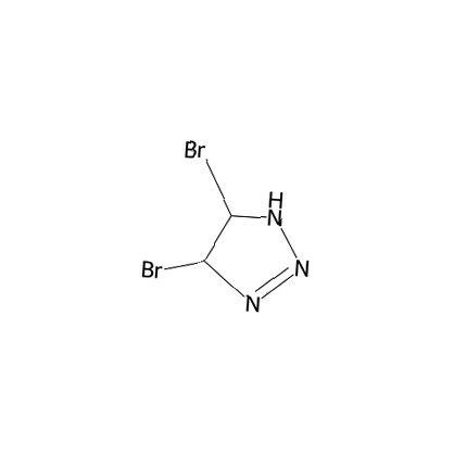 BrC1N=NNC1Br